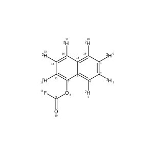 [2H]c1c([2H])c([2H])c2c(OC(=O)F)c([2H])c([2H])c([2H])c2c1[2H]